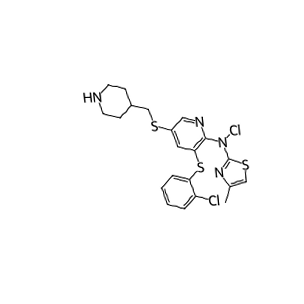 Cc1csc(N(Cl)c2ncc(SCC3CCNCC3)cc2Sc2ccccc2Cl)n1